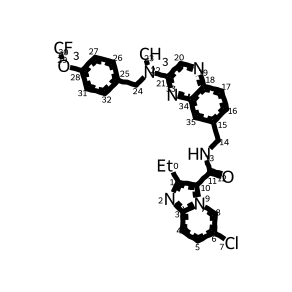 CCc1nc2ccc(Cl)cn2c1C(=O)NCc1ccc2ncc(N(C)Cc3ccc(OC(F)(F)F)cc3)nc2c1